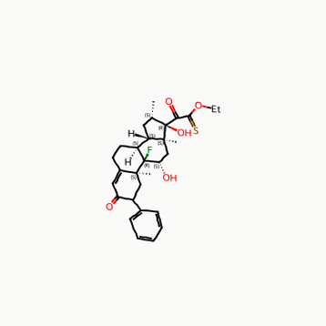 CCOC(=S)C(=O)[C@@]1(O)[C@@H](C)C[C@H]2[C@@H]3CCC4=CC(=O)C(c5ccccc5)C[C@]4(C)[C@@]3(F)[C@@H](O)C[C@@]21C